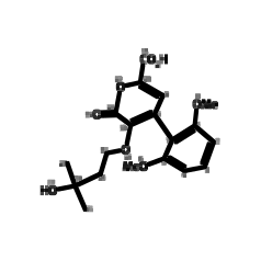 COc1cccc(OC)c1-c1cc(C(=O)O)oc(=O)c1OCCC(C)(C)O